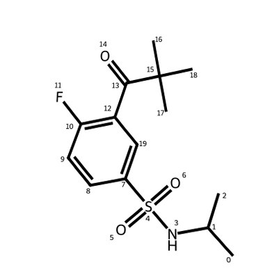 CC(C)NS(=O)(=O)c1ccc(F)c(C(=O)C(C)(C)C)c1